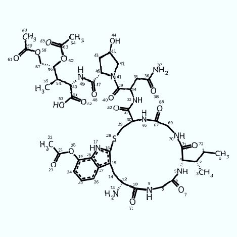 CC[C@H](C)[C@@H]1NC(=O)CNC(=O)[C@H](N)Cc2c([nH]c3c(OC(C)=O)cccc23)SCC(C(=O)NC(CC(N)=O)C(=O)N2C[C@H](O)C[C@H]2C(=O)N[C@H](C(=O)O)[C@@H](C)[C@H](COC(C)=O)OC(C)=O)NC(=O)CNC1=O